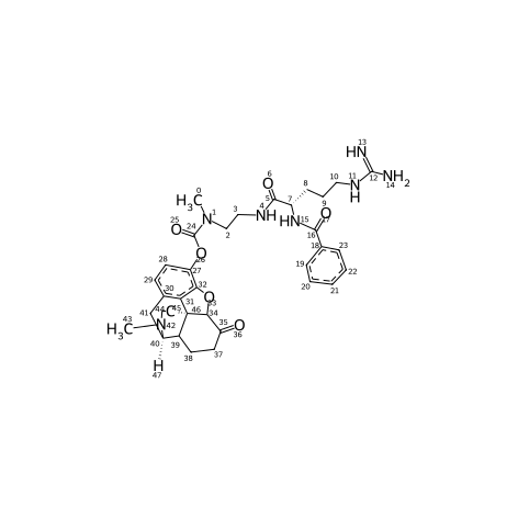 CN(CCNC(=O)[C@H](CCCNC(=N)N)NC(=O)c1ccccc1)C(=O)Oc1ccc2c3c1OC1C(=O)CCC4[C@@H](C2)N(C)CC[C@]314